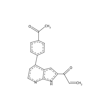 C=CC(=O)c1cc2c(-c3ccc(C(C)=O)cc3)ccnc2[nH]1